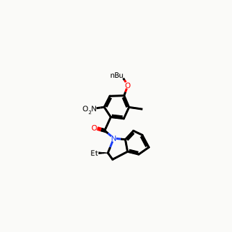 CCCCOc1cc([N+](=O)[O-])c(C(=O)N2c3ccccc3C[C@H]2CC)cc1C